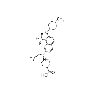 CCC(c1ccc2ccc(OC3CCC(C)CC3)c(C(F)(F)F)c2c1)N1CCC(C(=O)O)CC1